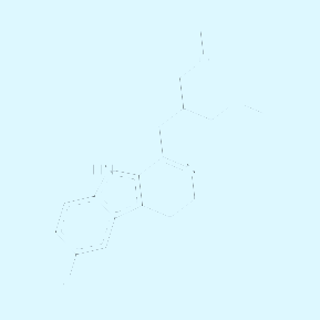 COCC(COC)CC1=NCCc2c1[nH]c1ccc(Cl)cc21